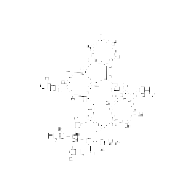 C[CH]=[Zr+2][CH]1c2ccccc2-c2cccc(C3C(O[Si](C)(C)C)=C(OC)c4ccccc43)c21.[Cl-].[Cl-]